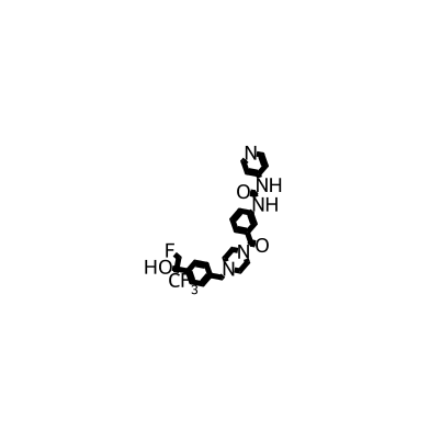 O=C(Nc1ccncc1)Nc1cccc(C(=O)N2CCN(Cc3ccc(C(O)(CF)C(F)(F)F)cc3)CC2)c1